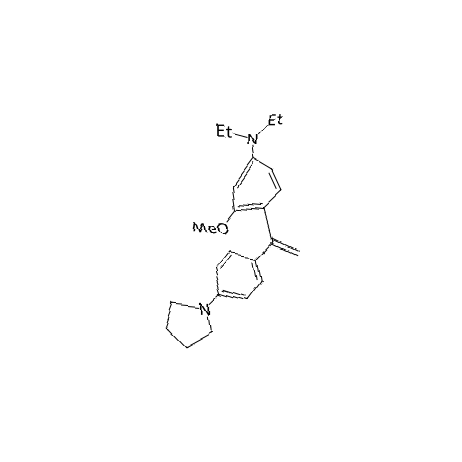 C=C(c1ccc(N2CCCC2)cc1)c1ccc(N(CC)CC)cc1OC